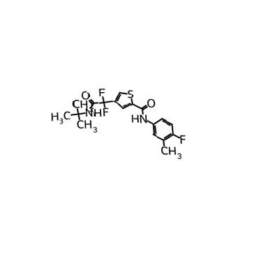 Cc1cc(NC(=O)c2cc(C(F)(F)C(=O)NC(C)(C)C)cs2)ccc1F